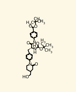 CC(C)(C)OC(=O)N[C@@H](Cc1ccc(N2CCC(CO)CC2=O)cc1)C(=O)Nc1ccc(C(=O)OC(C)(C)C)cc1